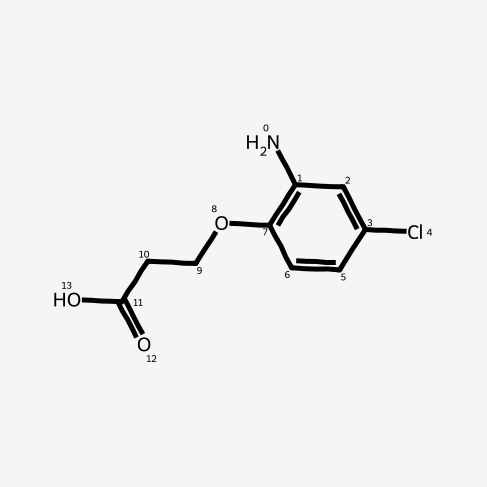 Nc1cc(Cl)ccc1OCCC(=O)O